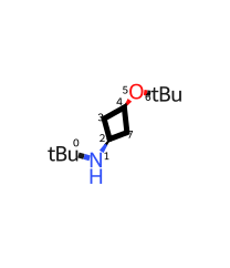 CC(C)(C)N[C@H]1C[C@@H](OC(C)(C)C)C1